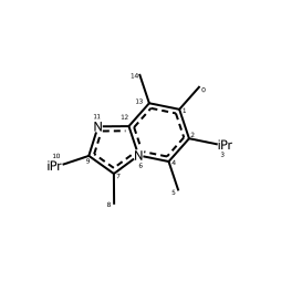 Cc1c(C(C)C)c(C)n2c(C)c(C(C)C)nc2c1C